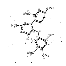 COc1ccc(-c2nc(N)nc(N)c2Cc2cc(OC)c(OC)cc2C(C)C)c(OC)c1